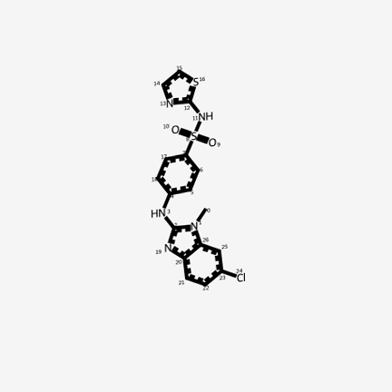 Cn1c(Nc2ccc(S(=O)(=O)Nc3nccs3)cc2)nc2ccc(Cl)cc21